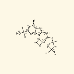 CC(C)(CC(=O)Nc1nc2c(F)cc(C(C)(C)O)cc2n1C1CCC1)CC(F)(F)F